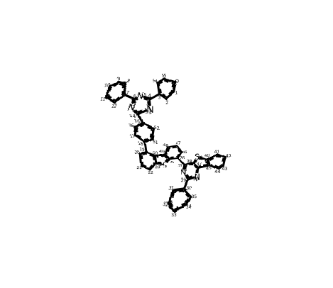 c1ccc(-c2nc(-c3ccccc3)nc(-c3ccc(-c4cccc5sc6c(-c7nc(-c8ccccc8)nc8c7sc7ccccc78)cccc6c45)cc3)n2)cc1